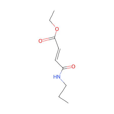 CCCNC(=O)C=CC(=O)OCC